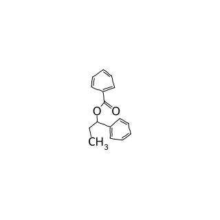 CCC(OC(=O)c1ccccc1)c1ccccc1